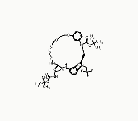 CC(C)(C)OC(=O)NCC[C@@H]1Nc2cccc3c2cc(n3CC(F)(F)F)C#CCN(C(=O)OC(C)(C)C)c2cccc(c2)OCCOCCOCCNC1=O